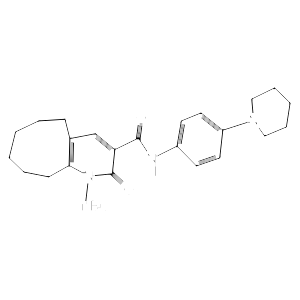 CCCCn1c2c(cc(C(=O)Nc3ccc(N4CCCCC4)cc3)c1=O)CCCCCC2